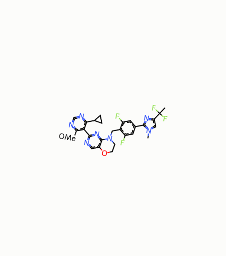 COc1ncnc(C2CC2)c1-c1ncc2c(n1)N(Cc1c(F)cc(-c3nc(C(C)(F)F)cn3C)cc1F)CCO2